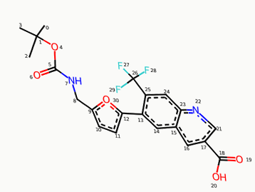 CC(C)(C)OC(=O)NCc1ccc(-c2cc3cc(C(=O)O)cnc3cc2C(F)(F)F)o1